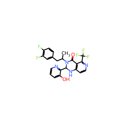 CC(Cc1ccc(F)c(F)c1)N1C(=O)c2c(ccnc2C(F)(F)F)NC1c1ncccc1O